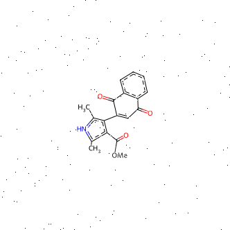 COC(=O)c1c(C)[nH]c(C)c1C1=CC(=O)c2ccccc2C1=O